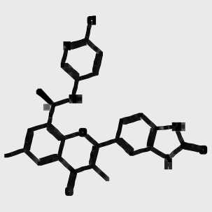 Cc1cc([C@@H](C)Nc2ccc(Cl)nc2)c2oc(-c3ccc4[nH]c(=O)[nH]c4c3)c(C)c(=O)c2c1